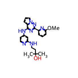 COc1cccc(-c2nc(Nc3ccnc(NCCC(C)(C)O)c3)c3cccn3n2)n1